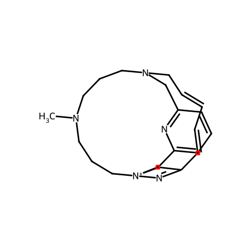 CN1CCCN2C/C=C/C=C/C3=N[N+](CCC1)(C3)Cc1cccc(n1)C2